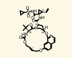 C=C[C@@H]1C[C@]1(NC(=O)[C@@H]1C[C@@H]2CN1C(=O)[C@H](C(C)(C)C)NC(=O)OC/C=C/COc1ccc3ccnc(c3c1)O2)C(=O)NS(=O)(=O)C1CC1